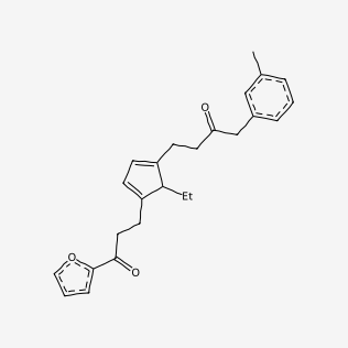 CCC1C(CCC(=O)Cc2cccc(C)c2)=CC=C1CCC(=O)c1ccco1